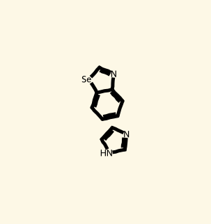 c1c[nH]cn1.c1ccc2[se]cnc2c1